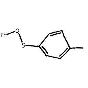 CCOSc1ccc(C)cc1